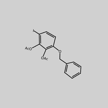 CC(=O)Oc1c(I)ccc(OCc2ccccc2)c1OC(C)=O